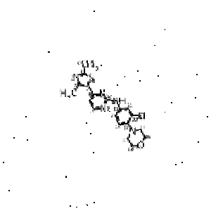 Cc1nc(C)c(-c2ccnc(Nc3ccc(N4CCOCC4)c(Cl)c3)n2)s1